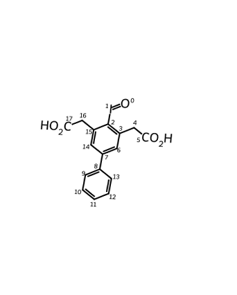 O=Ic1c(CC(=O)O)cc(-c2ccccc2)cc1CC(=O)O